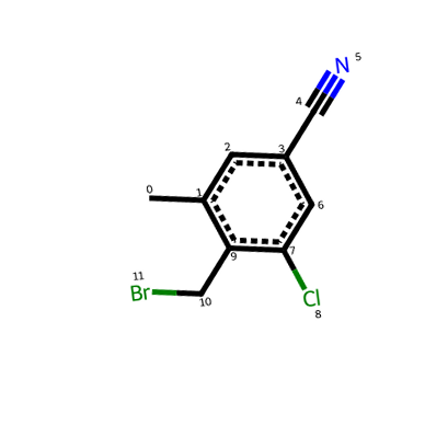 Cc1cc(C#N)cc(Cl)c1CBr